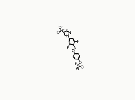 O=[N+]([O-])c1cn(-c2cc(F)c(COc3ccc(OS(=O)(=O)F)cc3)c(F)c2)nn1